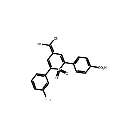 N#CC(C#N)=C1C=C(c2ccc(C(=O)O)cc2)S(=O)(=O)C(c2cccc(C(F)(F)F)c2)=C1